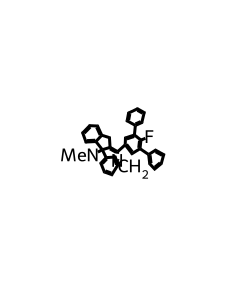 C=N/C(=C1/Cc2ccccc2C1(NC)c1ccccc1)c1cc(-c2ccccc2)c(F)c(-c2ccccc2)c1